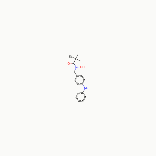 CCC(C)(C)C(=O)N(O)Cc1ccc(Nc2ccccc2)cc1